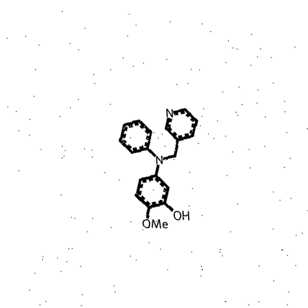 COc1ccc(N(Cc2cccnc2)c2ccccc2)cc1O